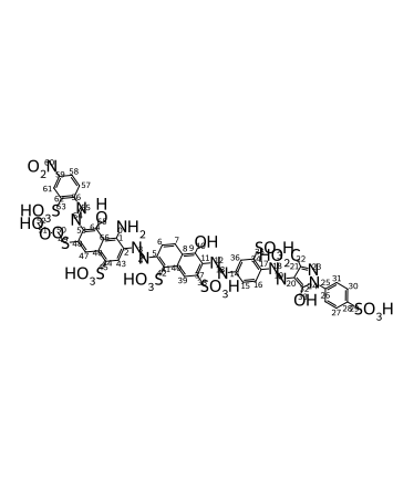 Nc1c(N=Nc2ccc3c(O)c(N=Nc4ccc(N=Nc5c(C(=O)O)nn(-c6ccc(S(=O)(=O)O)cc6)c5O)c(S(=O)(=O)O)c4)c(S(=O)(=O)O)cc3c2S(=O)(=O)O)cc(S(=O)(=O)O)c2cc(SOOO)c(N=Nc3ccc([N+](=O)[O-])cc3S(=O)(=O)O)c(O)c12